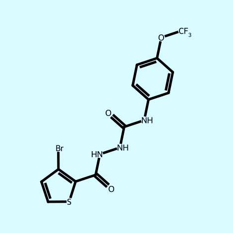 O=C(NNC(=O)c1sccc1Br)Nc1ccc(OC(F)(F)F)cc1